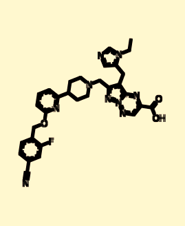 CCn1cncc1Cc1c(CN2CCC(c3cccc(OCc4ccc(C#N)cc4F)n3)CC2)nn2ncc(C(=O)O)nc12